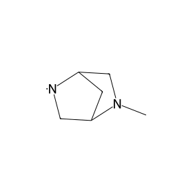 CN1CC2CC1C[N]2